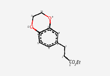 CCOC(=O)CCc1ccc2c(c1)OCCO2